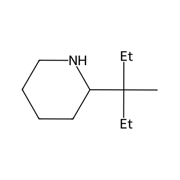 CCC(C)(CC)C1CCCCN1